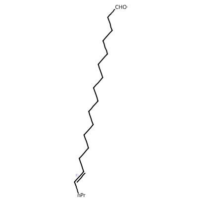 CCC/C=C/CCCCCCCCCCCCC[C]=O